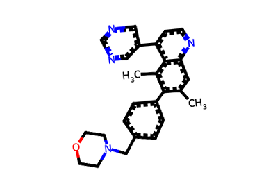 Cc1cc2nccc(-c3cncnc3)c2c(C)c1-c1ccc(CN2CCOCC2)cc1